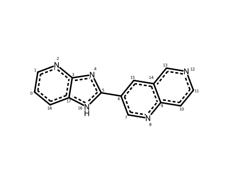 c1cnc2nc(-c3cnc4ccncc4c3)[nH]c2c1